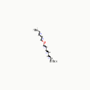 CCCC/C=C/C=C/O/C=C/C=C/C=C/CCCCCC